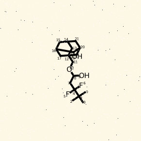 CC(C)(C)C(F)(F)CC(O)OCC12CC3CC(C1)C(O)C(C3)C2